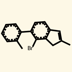 CC1=Cc2ccc(-c3ccccc3C)c(Br)c2C1